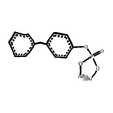 CCCCOP(=O)(OCCCC)Oc1ccc(-c2ccccc2)cc1